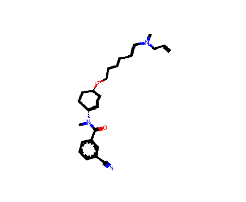 C=CCN(C)CCCCCCO[C@H]1CC[C@H](N(C)C(=O)c2cccc(C#N)c2)CC1